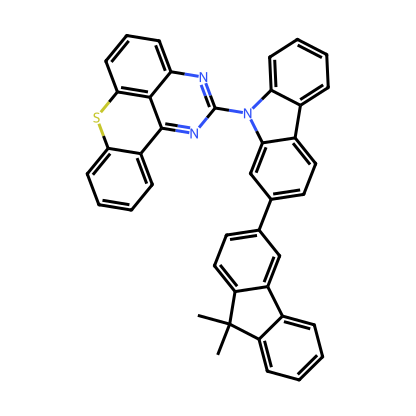 CC1(C)c2ccccc2-c2cc(-c3ccc4c5ccccc5n(-c5nc6c7c(cccc7n5)Sc5ccccc5-6)c4c3)ccc21